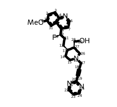 COc1ccc2nccc([C@H](F)CC[C@@H]3CCN(CC#Cc4ncccn4)C[C@@H]3CO)c2c1